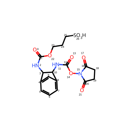 O=C(NC1c2cccc(c2)C1NC(=O)ON1C(=O)CCC1=O)OCCCS(=O)(=O)O